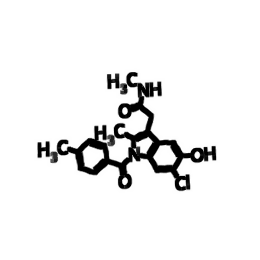 CNC(=O)Cc1c(C)n(C(=O)c2ccc(C)cc2)c2cc(Cl)c(O)cc12